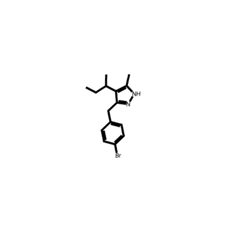 CCC(C)c1c(Cc2ccc(Br)cc2)n[nH]c1C